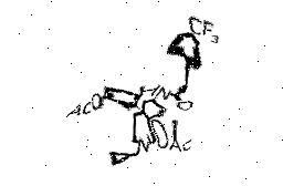 CC(=O)Oc1cccc([C@@]23CCN(CC4CC4)C[C@@]2(OC(C)=O)CC[C@@H](NC(=O)C#Cc2ccc(C(F)(F)F)cc2)C3)c1